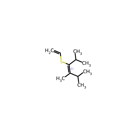 C=CS/C(=C(\C)C(C)C)C(C)C